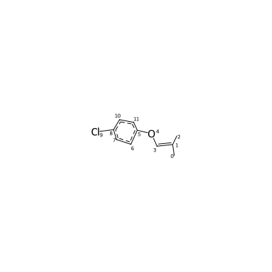 CC(C)=COc1ccc(Cl)cc1